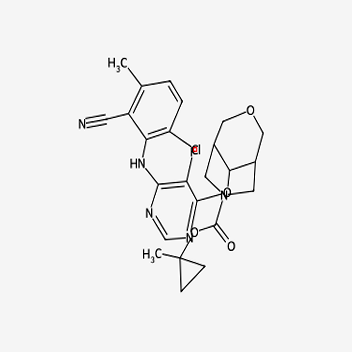 Cc1ccc(Cl)c(Nc2ncnc(OC3C4COCC3CN(C(=O)OC3(C)CC3)C4)c2F)c1C#N